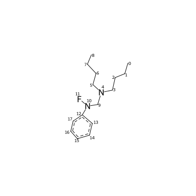 CCCCN(CCCC)CN(F)c1ccccc1